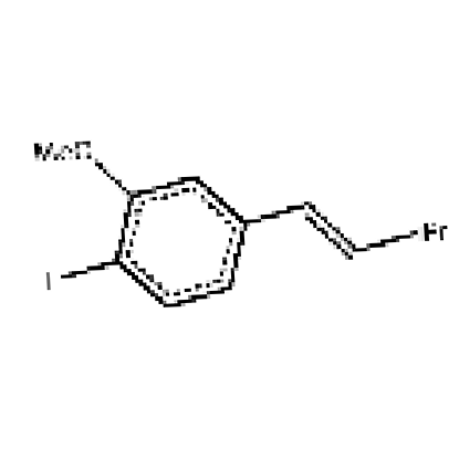 COc1cc(C=CC(C)C)ccc1F